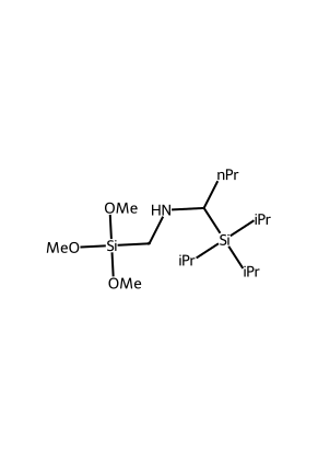 CCCC(NC[Si](OC)(OC)OC)[Si](C(C)C)(C(C)C)C(C)C